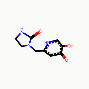 O=C1NCCN1Cc1cc(=O)c(O)c[nH]1